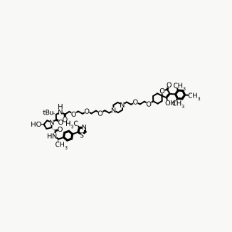 Cc1cc(C)c(C2=C(O)C3(CCC(OCCOCCN4CCN(CCOCCOCCOCC(=O)N[C@H](C(=O)N5C[C@H](O)C[C@H]5C(=O)N[C@@H](C)c5ccc(-c6scnc6C)cc5)C(C)(C)C)CC4)CC3)OC2=O)c(C)c1